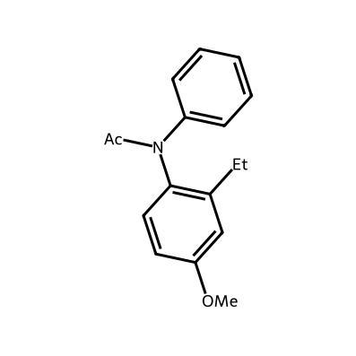 CCc1cc(OC)ccc1N(C(C)=O)c1ccccc1